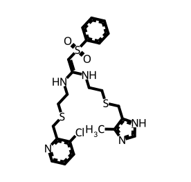 Cc1nc[nH]c1CSCCN/C(=C\S(=O)(=O)c1ccccc1)NCCSCc1ncccc1Cl